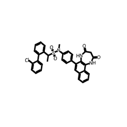 CC(c1ccccc1-c1ccccc1Cl)S(=O)(=O)N(C)c1ccc(-c2cc3ccccc3c3c2NC(=O)CC(=O)N3)cc1